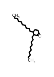 CCCCCCCCCCC1CCC2OC2C1CCCCCCCCCC